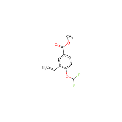 C=Cc1cc(C(=O)OC)ccc1OC(F)F